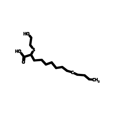 CCCCCCCCCCCCC(SCCO)C(=O)O